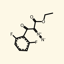 CCOC(=O)C(=[N+]=[N-])C(=O)c1c(F)cccc1F